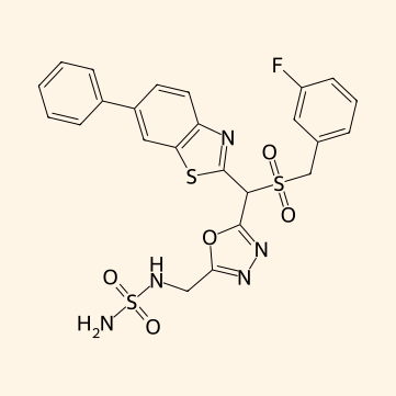 NS(=O)(=O)NCc1nnc(C(c2nc3ccc(-c4ccccc4)cc3s2)S(=O)(=O)Cc2cccc(F)c2)o1